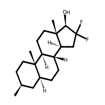 C[C@H]1CC[C@@]2(C)[C@@H](CC[C@@H]3[C@@H]2CC[C@@]2(C)[C@H]3CC(F)(F)[C@@H]2O)C1